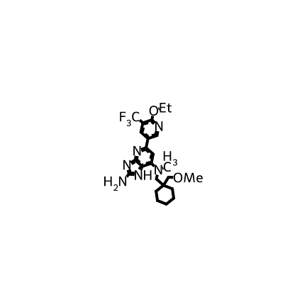 CCOc1ncc(-c2cc(N(C)CC3(COC)CCCCC3)c3[nH]c(N)nc3n2)cc1C(F)(F)F